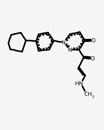 CNC=CC(=O)c1nn(-c2ccc(C3CCCCC3)cc2)ccc1=O